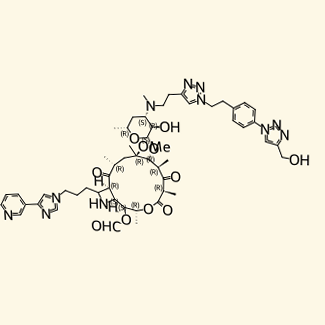 CO[C@]1(C)C[C@@H](C)C(=O)[C@@H]2C(CCCn3cnc(-c4cccnc4)c3)N[C@@H]2[C@](C)(OC=O)[C@@H](C)OC(=O)[C@H](C)C(=O)[C@H](C)[C@H]1O[C@@H]1O[C@H](C)C[C@H](N(C)CCc2cn(CCc3ccc(-n4cc(CO)nn4)cc3)nn2)[C@H]1O